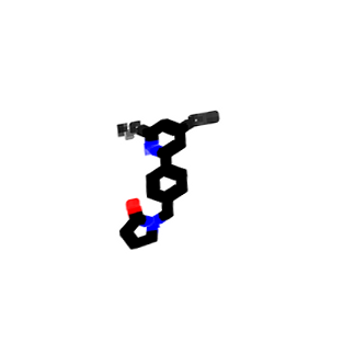 O=Cc1cc(-c2ccc(CN3CCCC3=O)cc2)nc(C(F)(F)F)c1